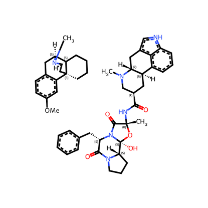 CN1C[C@H](C(=O)N[C@]2(C)O[C@@]3(O)[C@@H]4CCCN4C(=O)[C@H](Cc4ccccc4)N3C2=O)C[C@@H]2c3cccc4[nH]cc(c34)C[C@H]21.COc1ccc2c(c1)[C@]13CCCC[C@@H]1[C@H](C2)N(C)CC3